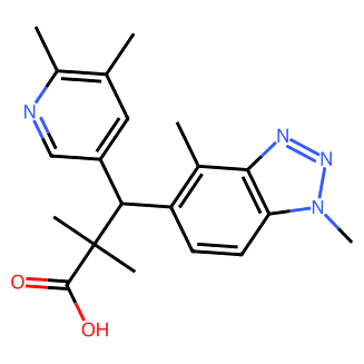 Cc1cc(C(c2ccc3c(nnn3C)c2C)C(C)(C)C(=O)O)cnc1C